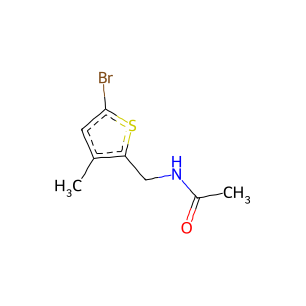 CC(=O)NCc1sc(Br)cc1C